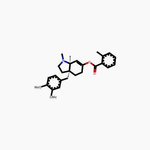 COc1ccc(C[C@@]23CCC(OC(=O)c4ccccc4C)=C[C@]2(C)N(C)CC3)cc1OC